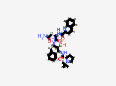 CC(C)(C)N1CCC[C@H]1C(=O)NC[C@@H](O)[C@H](Cc1ccccc1)NC(=O)[C@H](CC(N)=O)NC(=O)c1ccc2ccccc2n1